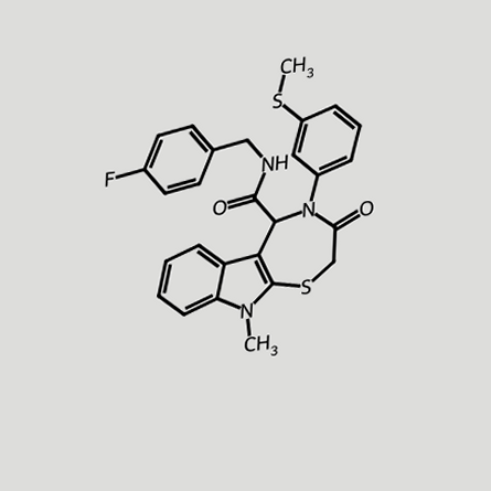 CSc1cccc(N2C(=O)CSc3c(c4ccccc4n3C)C2C(=O)NCc2ccc(F)cc2)c1